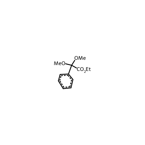 CCOC(=O)C(OC)(OC)c1ccccc1